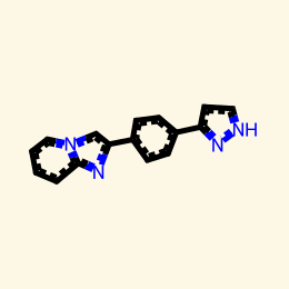 c1ccn2cc(-c3ccc(-c4cc[nH]n4)cc3)nc2c1